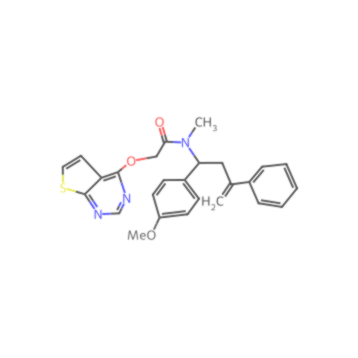 C=C(CC(c1ccc(OC)cc1)N(C)C(=O)COc1ncnc2sccc12)c1ccccc1